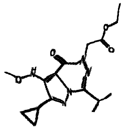 CCOC(=O)Cn1nc(C(C)C)n2nc(C3CC3)c(NOC)c2c1=O